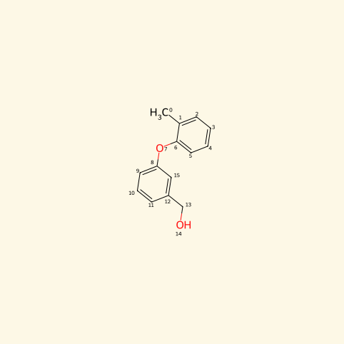 Cc1ccccc1Oc1cccc(CO)c1